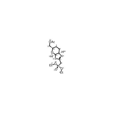 CCOP(=O)(CC1=N[C@@H]2[C][C][C@H](COC(C)=O)O[C@@H]2S1)OCC